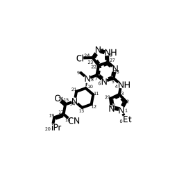 CCn1cc(Nc2nc(N(C)[C@@H]3CCCN(C(=O)/C(C#N)=C/C(C)C)C3)c3c(Cl)n[nH]c3n2)cn1